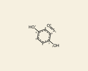 O=S.Oc1ccc(O)cc1